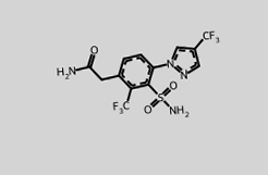 NC(=O)Cc1ccc(-n2cc(C(F)(F)F)cn2)c(S(N)(=O)=O)c1C(F)(F)F